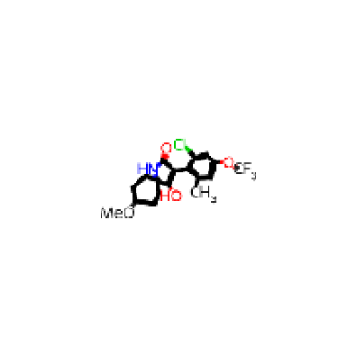 COC1CCC2(CC1)NC(=O)C(c1c(C)cc(OC(F)(F)F)cc1Cl)=C2O